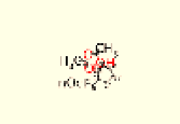 CC(O)OC(C)O.CCCCCCCCCc1ccccc1